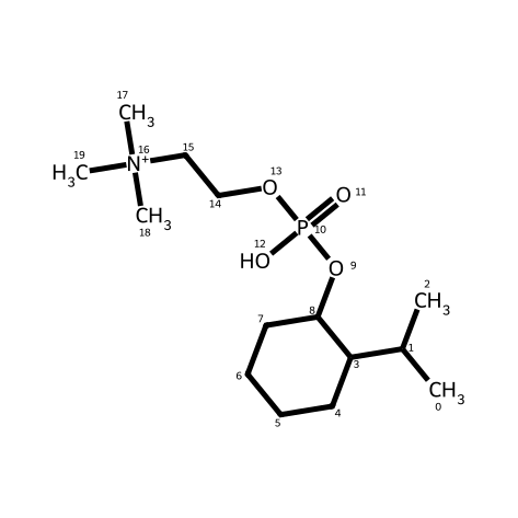 CC(C)C1CCCCC1OP(=O)(O)OCC[N+](C)(C)C